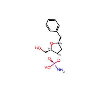 NP(=O)(O)O[C@H]1C[C@H](Cc2ccccc2)O[C@@H]1CO